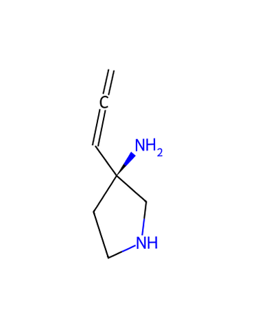 C=C=C[C@@]1(N)CCNC1